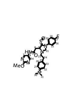 COc1ncc(NC(=O)CC2C(=S=O)N(c3ccc(F)cc3)CN2CCc2ccc(N(C)C)cc2)cn1